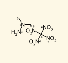 CN(C)N.O=[N+]([O-])C([N+](=O)[O-])([N+](=O)[O-])[N+](=O)[O-]